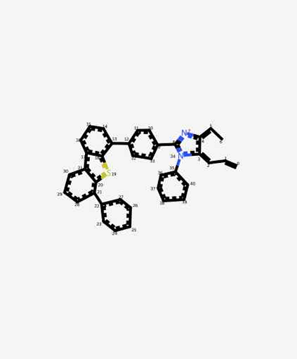 C=C/C=c1\c(=C/C)nc(-c2ccc(-c3cccc4c3sc3c(-c5ccccc5)cccc34)cc2)n1-c1ccccc1